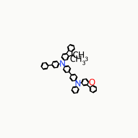 CC1(C)c2ccccc2-c2ccc(N(c3ccc(-c4ccccc4)cc3)c3ccc(-c4ccc(N(c5ccccc5)c5ccc6oc7ccccc7c6c5)cc4)cc3)cc21